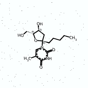 CCCCC[C@]1(n2cc(C)c(=O)[nH]c2=O)C[C@H](O)[C@@H](CO)O1